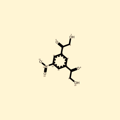 O=C(CO)c1cc(C(=O)CO)cc([N+](=O)[O-])c1